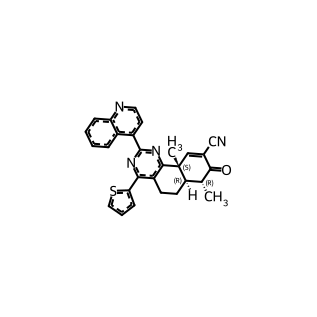 C[C@H]1C(=O)C(C#N)=C[C@@]2(C)c3nc(-c4ccnc5ccccc45)nc(-c4cccs4)c3CC[C@H]12